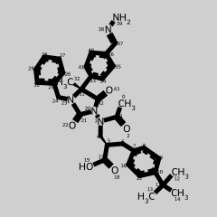 CC(=O)N(C[C@@H](Cc1ccc(C(C)(C)C)cc1)C(=O)O)N1C(=O)N(Cc2ccccc2)[C@](C)(c2ccc(C=NN)cc2)C1=O